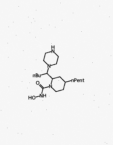 CCCCCC1CCN(C(=O)NO)C(C(CCCC)N2CCNCC2)C1